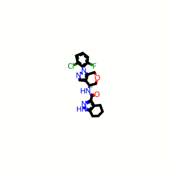 O=C(N[C@@H]1COCc2c1cnn2-c1c(F)cccc1Cl)c1n[nH]c2c1CCCC2